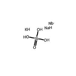 [KH].[NaH].[Nb].[O]=[Sb]([OH])([OH])[OH]